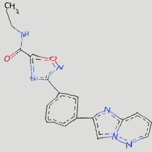 CCNC(=O)c1nc(-c2cccc(-c3cn4ncccc4n3)c2)no1